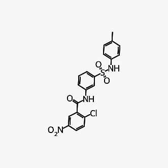 Cc1ccc(NS(=O)(=O)c2cccc(NC(=O)c3cc([N+](=O)[O-])ccc3Cl)c2)cc1